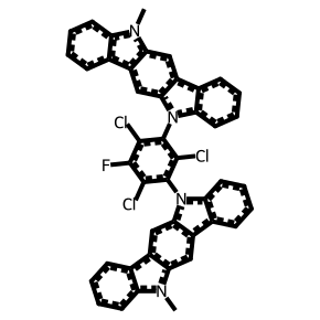 Cn1c2ccccc2c2cc3c(cc21)c1ccccc1n3-c1c(Cl)c(F)c(Cl)c(-n2c3ccccc3c3cc4c(cc32)c2ccccc2n4C)c1Cl